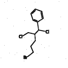 ClCC(CCCBr)C(Cl)c1ccccc1